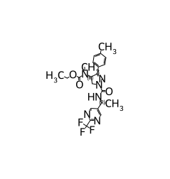 CCOC(=O)N(C)[C@@H]1CN(C(=O)N[C@H](C)c2cnc(C(F)(F)F)nc2)N=C1c1ccc(C)cc1